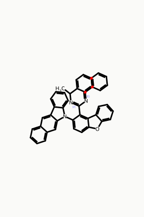 CC(/N=C(\N=C\c1ccccc1)c1c(-n2c3ccccc3c3cc4ccccc4cc32)ccc2oc3ccccc3c12)c1ccccc1